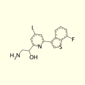 NCC(O)c1cc(I)cc(-c2csc3c(F)cccc23)n1